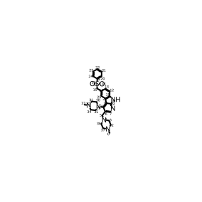 CN1CCN(Cc2cnc3[nH]c4ccc(CS(=O)(=O)c5ccccc5)cc4c3c2N2CCN(C)CC2)CC1